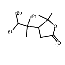 CCCC(C)(C(CC)C(C)(C)C)C1CC(=O)OC1(C)C